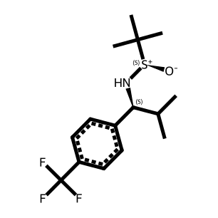 CC(C)[C@H](N[S@+]([O-])C(C)(C)C)c1ccc(C(F)(F)F)cc1